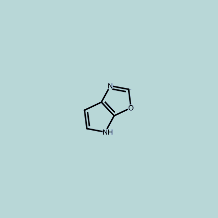 [c]1nc2cc[nH]c2o1